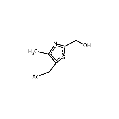 CC(=O)Cc1sc(CO)nc1C